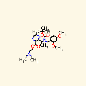 CCN(CC)CCOC(=O)c1nccnc1C(C)N(Cc1ccc(OC)cc1OC)C(=O)OC(C)(C)C